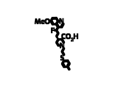 COc1ccc2nccc(C(F)CC[C@@H]3CCN(CCCSc4ccc(C)cc4)C[C@@H]3C(=O)O)c2c1